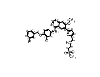 COc1cc2ncnc(Nc3ccc(OCc4cccc(F)c4)c(Cl)c3)c2cc1-c1ccc(CNCCS(C)(=O)=O)o1